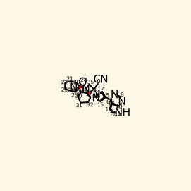 N#CCC1(n2cc(-c3ncnc4[nH]ccc34)cn2)CN(C2CC3CCC(C2)N3C(=O)C2CCCCC2)C1